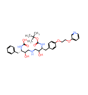 CC(C)(C)OC(=O)N[C@@H](Cc1ccc(OCCOc2cccnc2)cc1)C(O)CNC[C@@H](O)[C@H](Cc1ccccc1)NC(=O)O